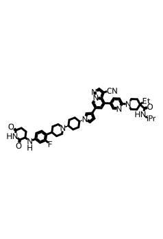 CCC1(C(=O)NC(C)C)CCN(c2ccc(-c3cc(-c4ccn([C@H]5CC[C@H](N6CCC(c7ccc(NC8CCC(=O)NC8=O)cc7F)CC6)CC5)c4)cn4ncc(C#N)c34)cn2)CC1